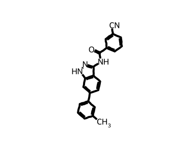 Cc1cccc(-c2ccc3c(NC(=O)c4cccc(C#N)c4)n[nH]c3c2)c1